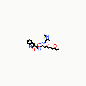 CCC(=O)CCCCC[C@H](NC(=O)c1sc(C)nc1C)c1ncc(-c2cc3ccccc3nc2OC)o1